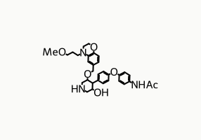 COCCCN1CCOc2ccc(COC3CNCC(O)C3c3ccc(Oc4ccc(NC(C)=O)cc4)cc3)cc21